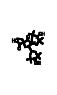 CCC(CC(C1CC(C)(C)N(O)C(C)(C)C1)C1CC(C)(C)N(O)C(C)(C)C1)(C(=O)O)C(=O)O